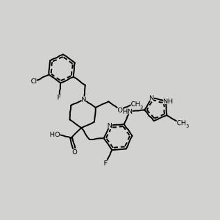 COCC1CC(Cc2nc(Nc3cc(C)[nH]n3)ccc2F)(C(=O)O)CCN1Cc1cccc(Cl)c1F